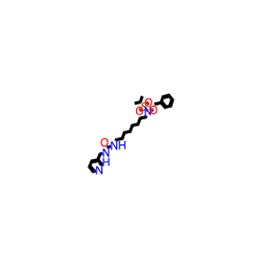 CC(C)S(=O)(=O)N(CCCCCCCCNC(=O)NCc1cccnc1)OCc1ccccc1